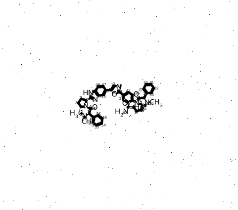 CN(C)[C@@H](C(=O)N1CCC[C@H]1c1nc2cc(-c3cnc(-c4ccc([N+]5(C(=O)[C@@H](c6ccccc6)N(C)C)CCC[C@H]5C(N)=O)cc4)o3)ccc2[nH]1)c1ccccc1